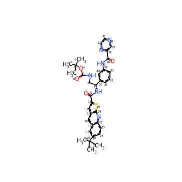 CC(C)(C)OC(=O)NC[C@H](NC(=O)c1cc2cc3cc(C(C)(C)C)ccc3nc2s1)c1cccc(NC(=O)c2cnccn2)c1